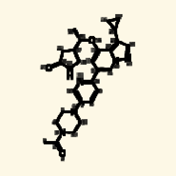 CC(=O)N1CCN(c2ccc(-c3cc(O[C@H](C)C4CNC(=O)C4)c4c(C5CC5)cnn4c3)nc2)CC1